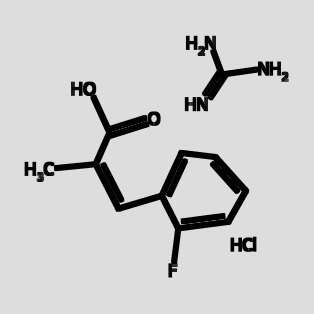 CC(=Cc1ccccc1F)C(=O)O.Cl.N=C(N)N